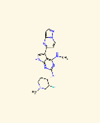 CNc1nc(N[C@H]2CCN(C)C[C@@H]2F)nc2[nH]cc(-c3ccn4nccc4n3)c12